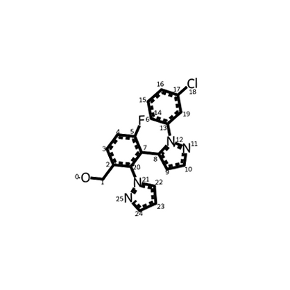 [O]Cc1ccc(F)c(-c2ccnn2-c2cccc(Cl)c2)c1-n1cccn1